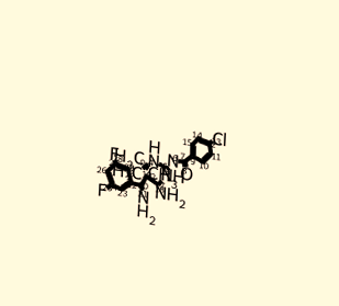 CC(C)(C)N/C(=N/C(=O)c1ccc(Cl)cc1)NC(N)CC(N)c1cc(F)cc(F)c1